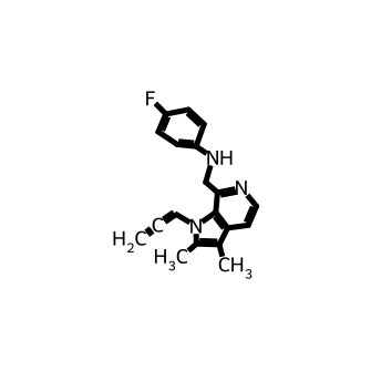 C=C=Cn1c(C)c(C)c2ccnc(CNc3ccc(F)cc3)c21